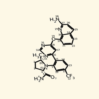 C[C@@H]1CC[C@@H](C(N)=O)N1c1cc(C(F)(F)F)ccc1-c1cc(Oc2cccc3ccc(N)nc23)ncn1